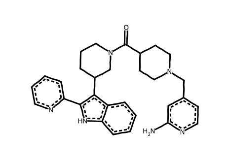 Nc1cc(CN2CCC(C(=O)N3CCCC(c4c(-c5ccccn5)[nH]c5ccccc45)C3)CC2)ccn1